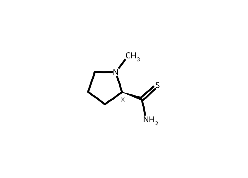 CN1CCC[C@@H]1C(N)=S